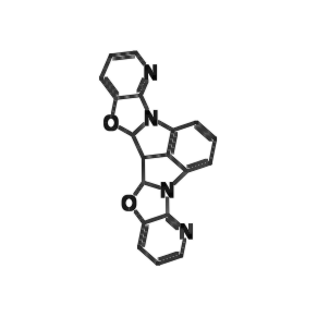 c1cnc2c(c1)OC1C3c4c(cccc4N4c5ncccc5OC34)N21